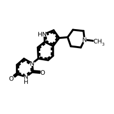 CN1CCC(c2c[nH]c3cc(-n4ccc(=O)[nH]c4=O)ccc23)CC1